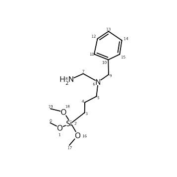 CO[Si](CCCN(CN)Cc1ccccc1)(OC)OC